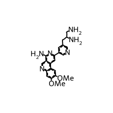 COc1cc2ncc3c(N)nc(-c4cncc(CC(N)CN)c4)cc3c2cc1OC